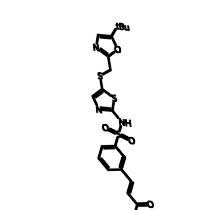 COC(=O)C=Cc1cccc(S(=O)(=O)Nc2ncc(SCc3ncc(C(C)(C)C)o3)s2)c1